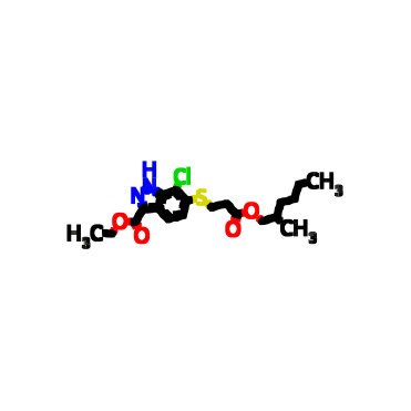 CCCCC(C)COC(=O)CCSc1ccc2c(C(=O)OCC)n[nH]c2c1Cl